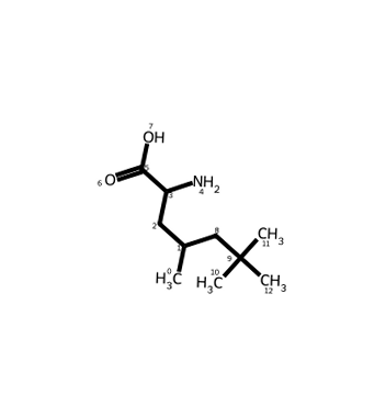 CC(CC(N)C(=O)O)CC(C)(C)C